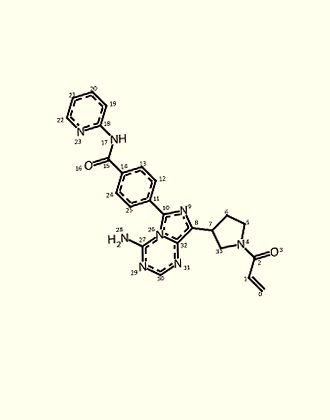 C=CC(=O)N1CCC(c2nc(-c3ccc(C(=O)Nc4ccccn4)cc3)n3c(N)ncnc23)C1